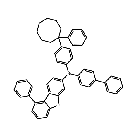 c1ccc(-c2ccc(N(c3ccc(C4(c5ccccc5)CCCCCCC4)cc3)c3ccc4c(c3)oc3cccc(-c5ccccc5)c34)cc2)cc1